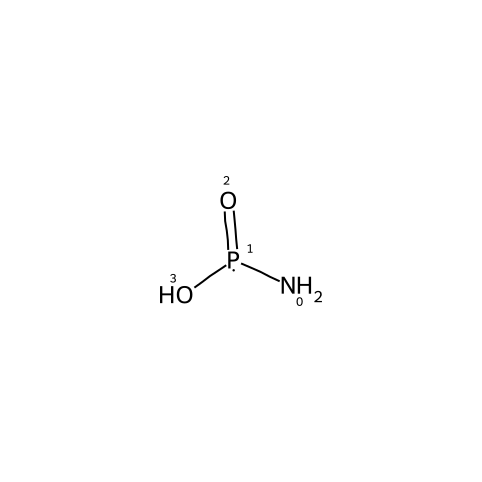 N[P](=O)O